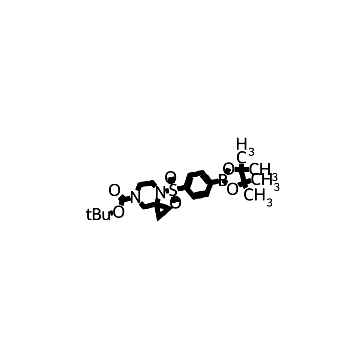 CC(C)(C)OC(=O)N1CCN(S(=O)(=O)c2ccc(B3OC(C)(C)C(C)(C)O3)cc2)C2(CC2)C1